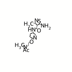 CC(=O)N(C)CCOc1ccc(NC(=O)c2c(C)nsc2N)cn1